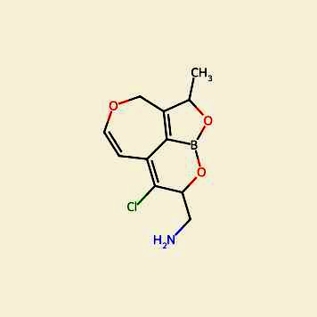 CC1OB2OC(CN)C(Cl)=C3C=COCC1=C23